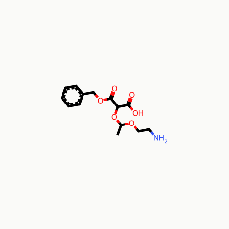 CC(OCCN)OC(C(=O)O)C(=O)OCc1ccccc1